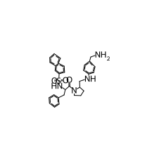 NCc1ccc(NCC2CCCN2C(=O)C(Cc2ccccc2)NS(=O)(=O)c2ccc3ccccc3c2)cc1